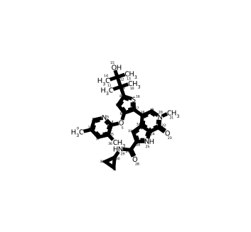 Cc1cnc(Oc2cc(C(C)(C)C(C)(C)O)sc2-c2cn(C)c(=O)c3[nH]c(C(=O)NC4CC4)cc23)c(C)c1